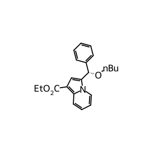 CCCCO[C@@H](c1ccccc1)c1cc(C(=O)OCC)c2ccccn12